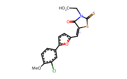 COc1ccc(-c2ccc(/C=C3/SC(=S)N(CC(=O)O)C3=O)o2)cc1Cl